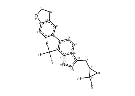 FC(F)(F)c1c(-c2ccc3c(c2)CCO3)ccn2c(CC3CC3(F)F)nnc12